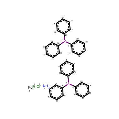 N.[Cl-].[Cl-].[Pd+2].c1ccc(P(c2ccccc2)c2ccccc2)cc1.c1ccc(P(c2ccccc2)c2ccccc2)cc1